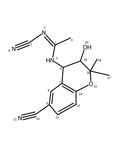 C/C(=N/C#N)NC1c2cc(C#N)ccc2OC(C)(C)C1O